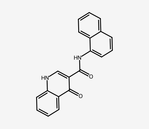 O=C(Nc1cccc2ccccc12)c1c[nH]c2ccccc2c1=O